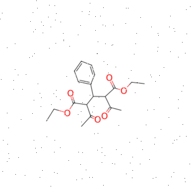 CCOC(=O)C(C(C)=O)C(c1ccccc1)C(C(C)=O)C(=O)OCC